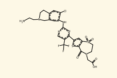 NCCN1CCc2cc(Cl)c(Nc3ncc(C(F)(F)F)c(-c4cc5c(s4)C(=O)N(CC(=O)O)CCS5(=O)=O)n3)cc2C1